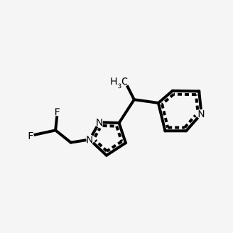 CC(c1ccncc1)c1ccn(CC(F)F)n1